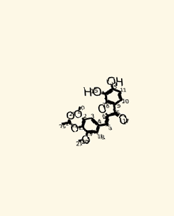 COc1cc(C=C2Oc3c(ccc(O)c3O)C2=O)cc(OC)c1OC(C)=O